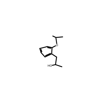 CC(O)Cc1ccccc1OC(C)C